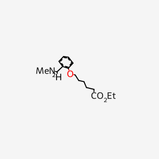 [2H]C(NC)c1ccccc1OCCCCCC(=O)OCC